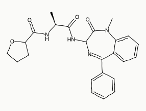 C[C@H](NC(=O)C1CCCO1)C(=O)NC1N=C(c2ccccc2)c2ccccc2N(C)C1=O